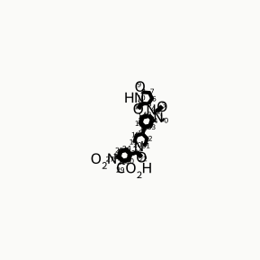 Cn1c(=O)n(C2CCC(=O)NC2=O)c2ccc(C3CCN(C(=O)c4ccc([N+](=O)[O-])c(C(=O)O)c4)CC3)cc21